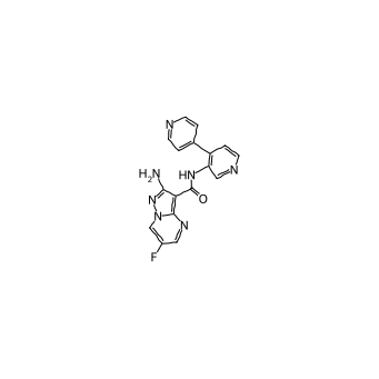 Nc1nn2cc(F)cnc2c1C(=O)Nc1cnccc1-c1ccncc1